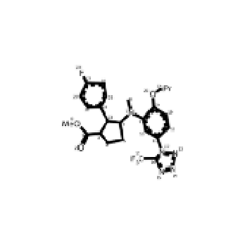 COC(=O)C1CCC(N(C)c2cc(-n3nnnc3C(F)(F)F)ccc2OC(C)C)C1c1ccc(F)cc1